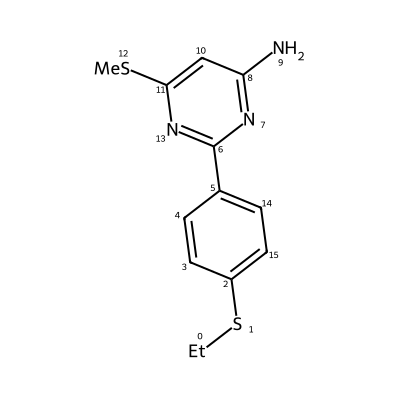 CCSc1ccc(-c2nc(N)cc(SC)n2)cc1